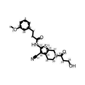 COc1cccc(CCC(=O)Nc2sc3c(c2C#N)CCN(C(=O)CCO)C3)c1